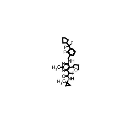 Cc1nc(NCc2cccc(C(F)(F)C3CCCC3)c2F)c(C2CCCO2)c(C(F)C(=O)NC2(C)CC2)n1